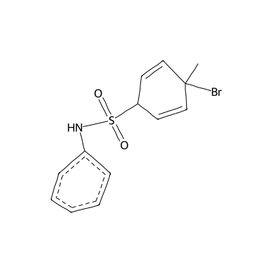 CC1(Br)C=CC(S(=O)(=O)Nc2ccccc2)C=C1